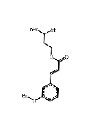 CCCC(CC)CCOC(=O)C=Cc1cccc(OC(C)CC)c1